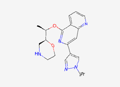 CC(C)n1cc(-c2cc3ncccc3c(O[C@H](C)[C@@H]3CNCCO3)n2)cn1